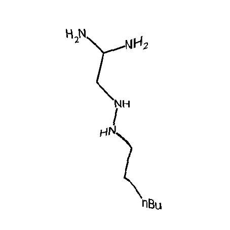 CCCCCCNNCC(N)N